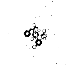 CC(=O)C(Cc1ccccc1)N1CC(=O)N(c2cc(Cl)ccc2-n2cc(Cl)nn2)CC1=O